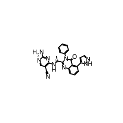 C[C@H](Nc1nc(N)ncc1C#N)c1nc2cccc(-c3ccn[nH]3)c2c(=O)n1-c1ccccc1